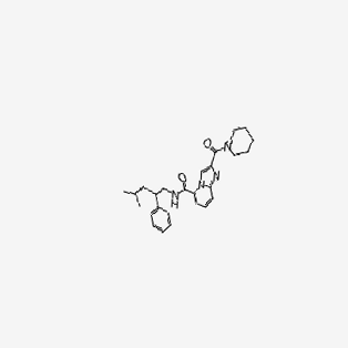 CC(C)CC(CNC(=O)c1cccc2nc(C(=O)N3CCCCC3)cn12)c1ccccc1